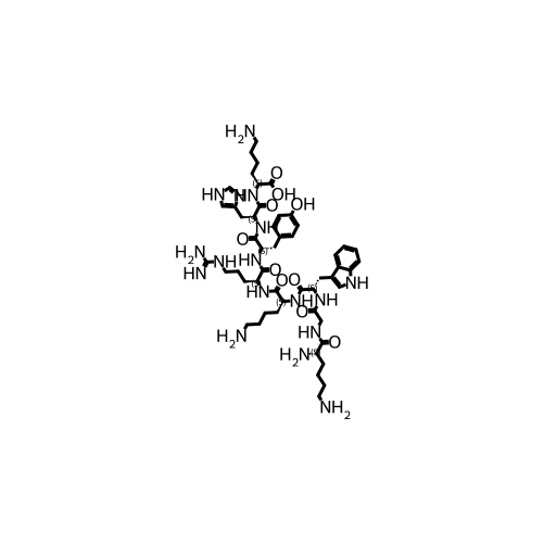 N=C(N)NCCC[C@H](NC(=O)[C@H](CCCCN)NC(=O)[C@H](Cc1c[nH]c2ccccc12)NC(=O)CNC(=O)[C@@H](N)CCCCN)C(=O)N[C@@H](Cc1ccc(O)cc1)C(=O)N[C@@H](Cc1c[nH]cn1)C(=O)N[C@@H](CCCCN)C(=O)O